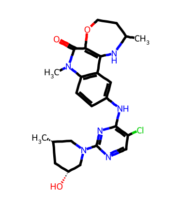 CC1CCOc2c(c3cc(Nc4nc(N5C[C@@H](C)C[C@@H](O)C5)ncc4Cl)ccc3n(C)c2=O)N1